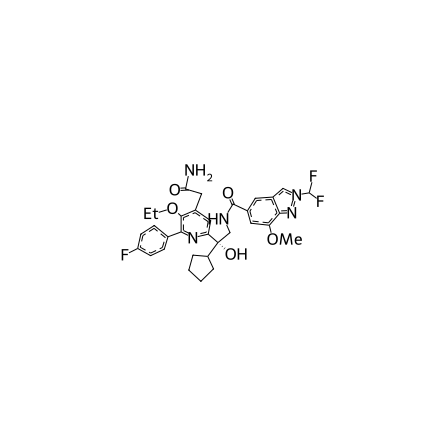 CCOc1c(CC(N)=O)cc([C@@](O)(CNC(=O)c2cc(OC)c3nn(C(F)F)cc3c2)C2CCCC2)nc1-c1ccc(F)cc1